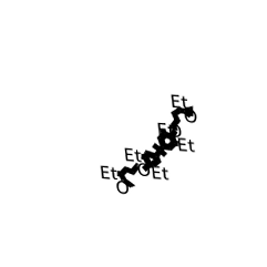 CCc1cc(C(C)(C)c2cc(CC)c(OCCCC(CC)C3CO3)c(CC)c2)cc(CC)c1OCCCC(CC)C1CO1